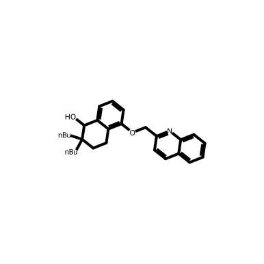 CCCCC1(CCCC)CCc2c(OCc3ccc4ccccc4n3)cccc2C1O